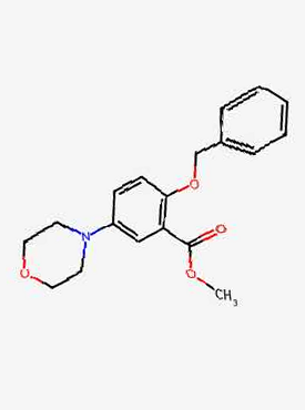 COC(=O)c1cc(N2CCOCC2)ccc1OCc1ccccc1